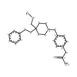 CCOCC1(CCc2ccccc2)CCN(Cc2ccc(CC(N)=O)cc2)CC1